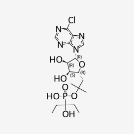 CCC(O)(CC)P(=O)(O)OC(C)(C)C[C@H]1O[C@@H](n2cnc3c(Cl)ncnc32)[C@H](O)[C@@H]1O